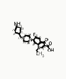 CCn1cc(C(=O)O)c(=O)c2cc(F)c(N3CCN(Cc4ccc(N)cc4)CC3)cc21